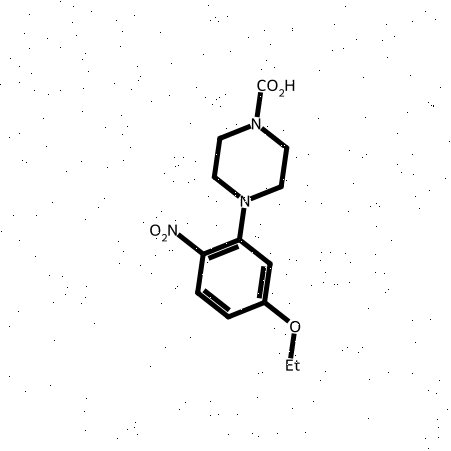 CCOc1ccc([N+](=O)[O-])c(N2CCN(C(=O)O)CC2)c1